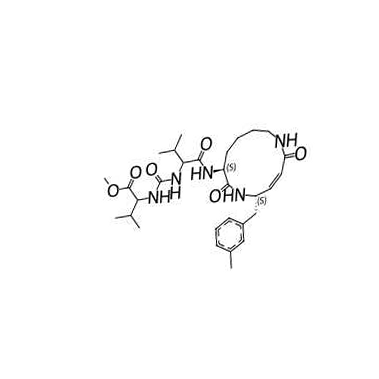 COC(=O)C(NC(=O)NC(C(=O)N[C@H]1CCCCNC(=O)C=C[C@H](Cc2cccc(C)c2)NC1=O)C(C)C)C(C)C